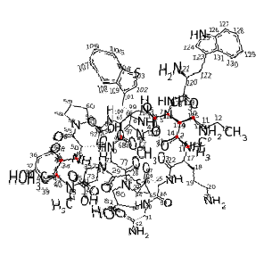 CCCC[C@@H](C(=O)N(C)[C@@H](CCCC)C(=O)N[C@@H](CCCN)C(=O)N[C@@H](CSCC(=O)N[C@@H](Cc1ccc(O)cc1)C(=O)N(C)[C@@H](C)C(=O)N[C@@H](CC(=O)O)C(=O)N1CCC[C@H]1C(=O)N[C@@H](CN)C(=O)N[C@@H](CCC(=O)O)C(=O)N1C[C@H](O)C[C@]12CC2=O)C(=O)NCC(N)=O)N(C)C(=O)[C@H](Cc1csc2ccccc12)NC(=O)[C@H](CCN)NC(=O)[C@@H](N)Cc1c[nH]c2ccccc12